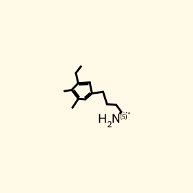 CCc1cc(CCC[C@H](C)N)cc(C)c1C